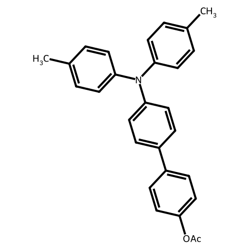 CC(=O)Oc1ccc(-c2ccc(N(c3ccc(C)cc3)c3ccc(C)cc3)cc2)cc1